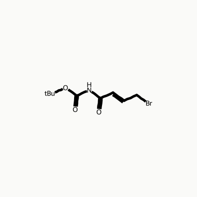 CC(C)(C)OC(=O)NC(=O)C=CCBr